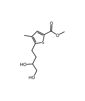 COC(=O)c1cc(C)c(CCC(O)CO)s1